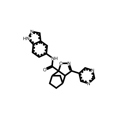 O=C(Nc1ccc2[nH]ncc2c1)C12ON=C(c3cncnc3)C1C1CCC2C1